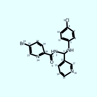 O=C(NC(Nc1ccc(Cl)cc1)c1cccnc1)c1ccc(Br)cn1